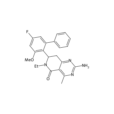 CCN1C(=O)c2c(C)nc(N)nc2CC1c1c(OC)cc(F)cc1-c1ccccc1